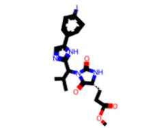 COC(=O)CC[C@H]1NC(=O)N(C(c2ncc(-c3ccc(I)cc3)[nH]2)C(C)C)C1=O